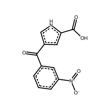 O=C(c1cccc([N+](=O)[O-])c1)c1c[nH]c(C(=O)O)c1